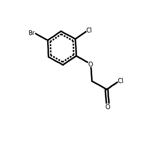 O=C(Cl)COc1ccc(Br)cc1Cl